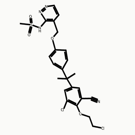 CC(C)(c1ccc(OCc2ccnnc2NS(C)(=O)=O)cc1)c1cc(Cl)c(OCCCl)c(C#N)c1